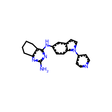 Nc1nc2c(c(Nc3ccc4c(ccn4-c4ccncc4)c3)n1)CCCC2